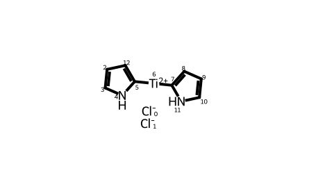 [Cl-].[Cl-].c1c[nH][c]([Ti+2][c]2ccc[nH]2)c1